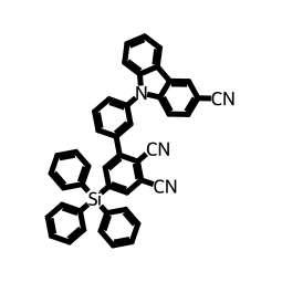 N#Cc1ccc2c(c1)c1ccccc1n2-c1cccc(-c2cc([Si](c3ccccc3)(c3ccccc3)c3ccccc3)cc(C#N)c2C#N)c1